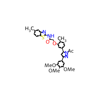 COc1cc(-c2cc(-c3ccc(C)c(OCC(=O)Nc4nc5cc(C)ccc5s4)c3)n(C(C)=O)n2)cc(OC)c1OC